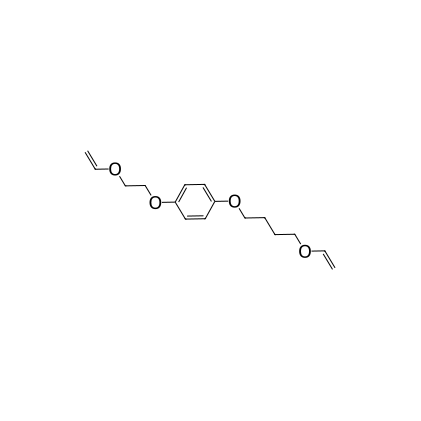 C=COCCCCOc1ccc(OCCOC=C)cc1